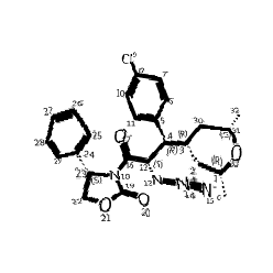 C[C@@H]1C[C@H]([C@H](c2ccc(Cl)cc2)[C@H](N=[N+]=[N-])C(=O)N2C(=O)OC[C@@H]2c2ccccc2)C[C@H](C)O1